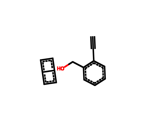 C#Cc1ccccc1CO.c1cc2ccc1-2